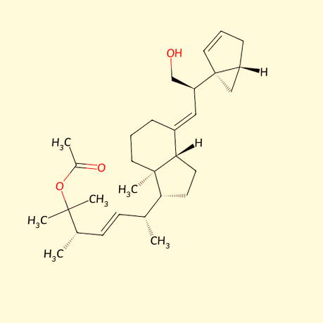 CC(=O)OC(C)(C)[C@@H](C)/C=C/[C@@H](C)[C@H]1CC[C@H]2/C(=C/[C@@H](CO)[C@@]34C=CC[C@@H]3C4)CCC[C@]12C